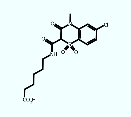 CN1C(=O)C(C(=O)NCCCCCC(=O)O)S(=O)(=O)c2ccc(Cl)cc21